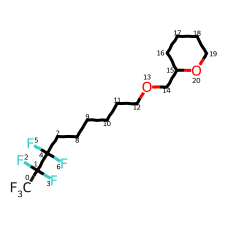 FC(F)(F)C(F)(F)C(F)(F)CCCCCCOCC1CCCCO1